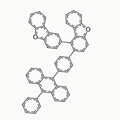 c1ccc(-c2c3ccccc3c(-c3ccc(-c4ccc5oc6ccccc6c5c4-c4ccc5oc6ccccc6c5c4)cc3)c3ccccc23)cc1